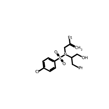 C=C(CC)CN(C(CO)CC(C)C)S(=O)(=O)c1ccc(Cl)cc1